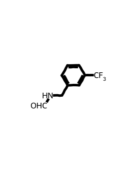 O=CNCc1cccc(C(F)(F)F)c1